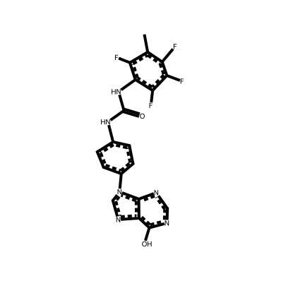 Cc1c(F)c(F)c(F)c(NC(=O)Nc2ccc(-n3cnc4c(O)ncnc43)cc2)c1F